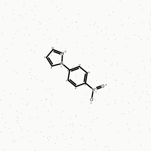 O=[N+]([O-])c1ccc(-n2cccn2)cc1